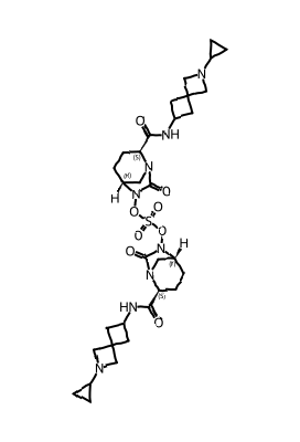 O=C(NC1CC2(C1)CN(C1CC1)C2)[C@@H]1CC[C@@H]2CN1C(=O)N2OS(=O)(=O)ON1C(=O)N2C[C@H]1CC[C@H]2C(=O)NC1CC2(C1)CN(C1CC1)C2